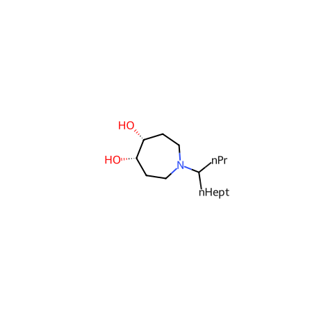 CCCCCCCC(CCC)N1CC[C@@H](O)[C@@H](O)CC1